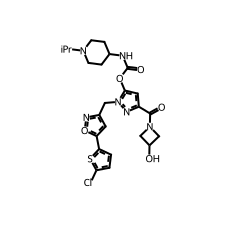 CC(C)N1CCC(NC(=O)Oc2cc(C(=O)N3CC(O)C3)nn2Cc2cc(-c3ccc(Cl)s3)on2)CC1